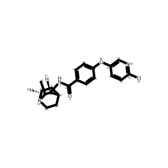 C[C@H]1[C@H](NC(=O)c2ccc(Oc3ccc(Cl)nc3)cc2)C2CCN1CC2